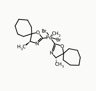 [CH2]=[Pd]([Br])([Br])([C]1=N[C@@H](C)C2(CCCCCC2)O1)[C]1=N[C@@H](C)C2(CCCCCC2)O1